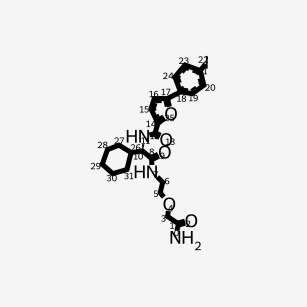 NC(=O)COCCNC(=O)[C@@H](NC(=O)c1ccc(-c2ccc(I)cc2)o1)C1CCCCC1